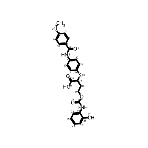 COc1ccc(C(=O)Nc2ccc(SC(CCOC(=O)Nc3ccccc3C)C(=O)O)cc2)cc1